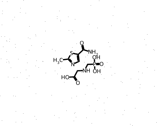 Cc1ncc(C(N)=O)s1.O=C(O)CNCP(=O)(O)O